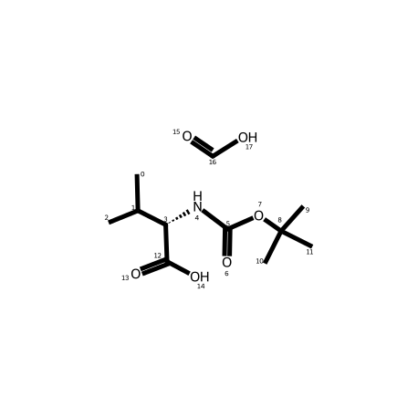 CC(C)[C@H](NC(=O)OC(C)(C)C)C(=O)O.O=CO